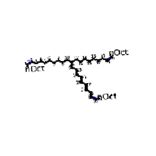 CCCCCCCC/C=C\CCCCCCCC[C](CCCCCCC/C=C\CCCCCCCC)CCCCCCCC/C=C\CCCCCCCC